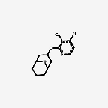 Clc1ccnc(OC2CC3CCCC(C2)N3)c1Cl